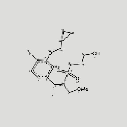 COCN([C@H](C)c1ccc(F)c(OCC2CC2)c1)S(=O)(=O)CCCO